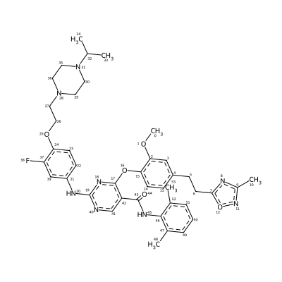 COc1cc(CCc2nc(C)no2)ccc1Oc1nc(Nc2ccc(OCCN3CCN(C(C)C)CC3)c(F)c2)ncc1C(=O)Nc1c(C)cccc1C